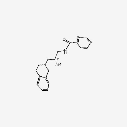 O=C(NC[C@H](O)CN1CCc2ccccc2C1)c1ccncn1